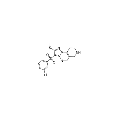 CSc1nn2c3c(cnc2c1S(=O)(=O)c1cccc(Cl)c1)CNCC3